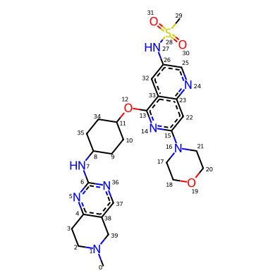 CN1CCc2nc(NC3CCC(Oc4nc(N5CCOCC5)cc5ncc(NS(C)(=O)=O)cc45)CC3)ncc2C1